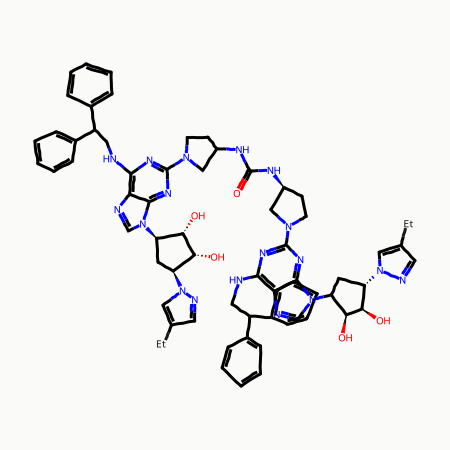 CCc1cnn([C@H]2C[C@@H](n3cnc4c(NCC(c5ccccc5)c5ccccc5)nc(N5CCC(NC(=O)N[C@H]6CCN(c7nc(NCC(c8ccccc8)c8ccccc8)c8ncn(C9C[C@H](n%10cc(CC)cn%10)[C@@H](O)[C@H]9O)c8n7)C6)C5)nc43)[C@H](O)[C@@H]2O)c1